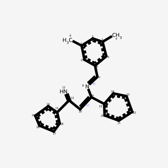 Cc1cc(C)cc(/C=N/C(=C\C(=N)c2ccccc2)c2ccccc2)c1